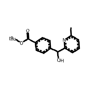 Cc1cccc(C(O)c2ccc(C(=O)OC(C)(C)C)cc2)n1